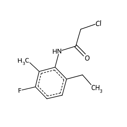 CCc1ccc(F)c(C)c1NC(=O)CCl